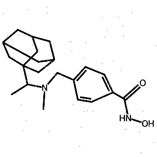 CC(N(C)Cc1ccc(C(=O)NO)cc1)C12CC3CC(CC(C3)C1)C2